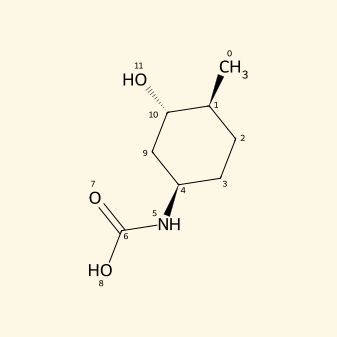 C[C@H]1CC[C@@H](NC(=O)O)C[C@@H]1O